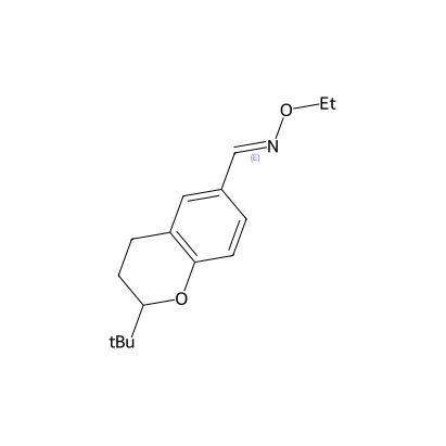 CCO/N=C/c1ccc2c(c1)CCC(C(C)(C)C)O2